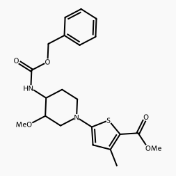 COC(=O)c1sc(N2CCC(NC(=O)OCc3ccccc3)C(OC)C2)cc1C